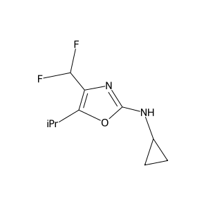 CC(C)c1oc(NC2CC2)nc1C(F)F